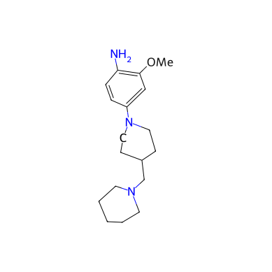 COc1cc(N2CCC(CN3CCCCC3)CC2)ccc1N